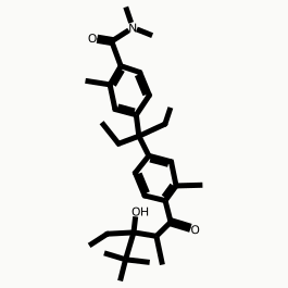 CCC(CC)(c1ccc(C(=O)C(C)C(O)(CC)C(C)(C)C)c(C)c1)c1ccc(C(=O)N(C)C)c(C)c1